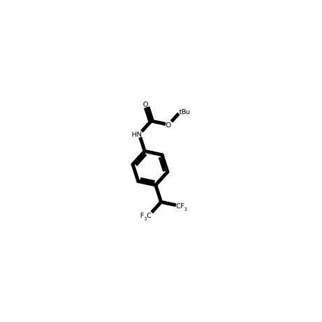 CC(C)(C)OC(=O)Nc1ccc([C](C(F)(F)F)C(F)(F)F)cc1